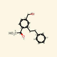 O=C(O)C(=O)c1ccc(CBr)cc1CCc1ccccc1